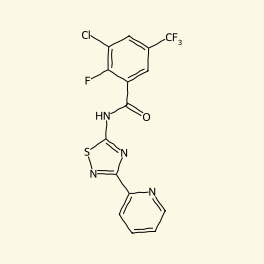 O=C(Nc1nc(-c2ccccn2)ns1)c1cc(C(F)(F)F)cc(Cl)c1F